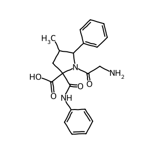 CC1CC(C(=O)O)(C(=O)Nc2ccccc2)N(C(=O)CN)C1c1ccccc1